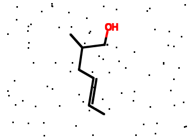 CC=CCC(C)[CH]O